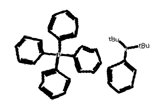 CC(C)(C)I(c1ccccc1)C(C)(C)C.c1ccc([B-](c2ccccc2)(c2ccccc2)c2ccccc2)cc1